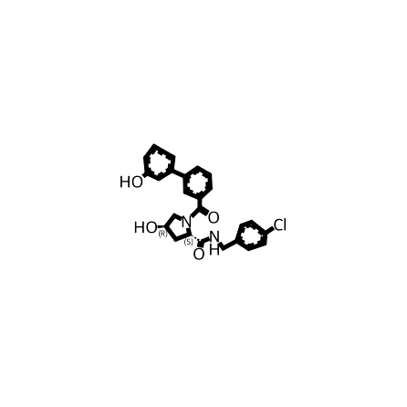 O=C(NCc1ccc(Cl)cc1)[C@@H]1C[C@@H](O)CN1C(=O)c1cccc(-c2cccc(O)c2)c1